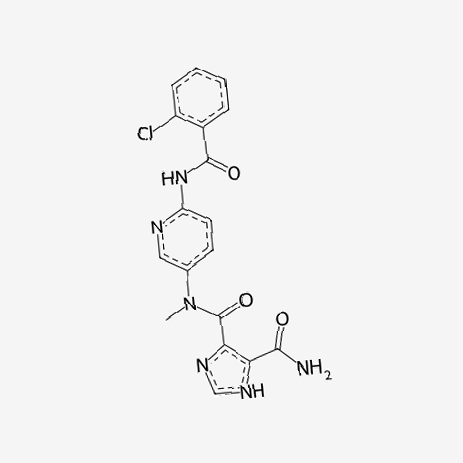 CN(C(=O)c1nc[nH]c1C(N)=O)c1ccc(NC(=O)c2ccccc2Cl)nc1